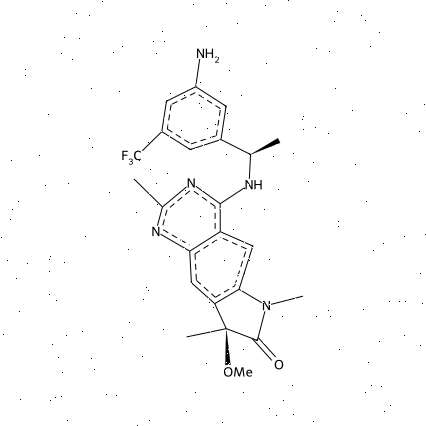 CO[C@]1(C)C(=O)N(C)c2cc3c(N[C@H](C)c4cc(N)cc(C(F)(F)F)c4)nc(C)nc3cc21